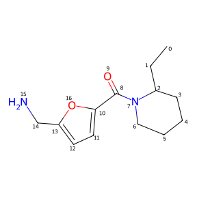 CCC1CCCCN1C(=O)c1ccc(CN)o1